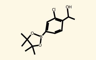 CC(O)c1ccc(B2OC(C)(C)C(C)(C)O2)cc1Cl